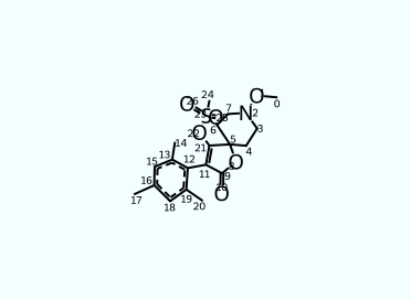 CON1CCC2(CC1)OC(=O)C(c1c(C)cc(C)cc1C)=C2OS(C)(=O)=O